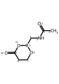 CC(=O)NCB1OCCC(=O)O1